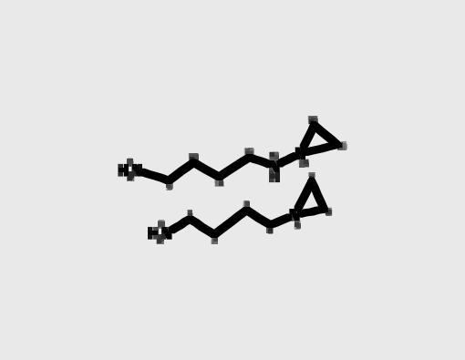 NCCCCN1CC1.NCCCCNN1CC1